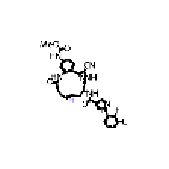 COC(=O)Nc1ccc2c(c1)NC(=O)CC/C=C/CC(NC(=O)c1cnn(-c3cccc(Cl)c3F)c1)c1nc-2c(C#N)[nH]1